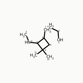 CCO.CNC1C(C)CC1(C)C